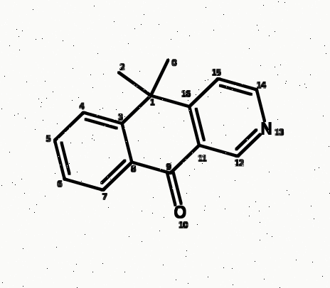 CC1(C)c2ccccc2C(=O)c2cnccc21